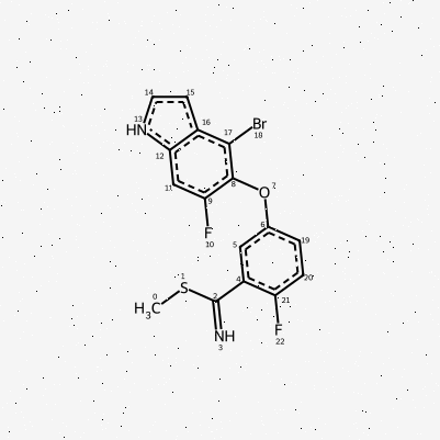 CSC(=N)c1cc(Oc2c(F)cc3[nH]ccc3c2Br)ccc1F